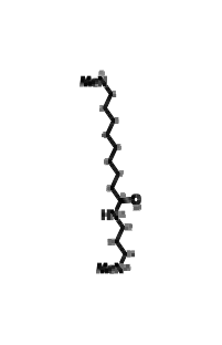 CNCCCCCCCCC(=O)NCCCNC